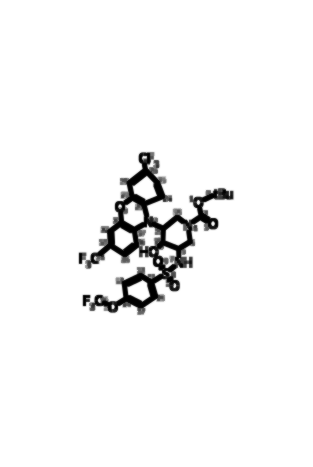 CC(C)(C)OC(=O)N1CC(NS(=O)(=O)c2ccc(OC(F)(F)F)cc2)C(O)C(N2c3ccc(C(F)(F)F)cc3Oc3cc(C(F)(F)F)ccc32)C1